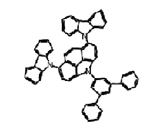 c1ccc(-c2cc(-c3ccccc3)cc(-n3c4ccc(-n5c6ccccc6c6ccccc65)c5ccc6c(-n7c8ccccc8c8ccccc87)ccc3c6c54)c2)cc1